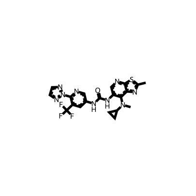 Cc1nc2c(N(C)C3CC3)c(NC(=O)Nc3cnc(-n4nccn4)c(C(F)(F)F)c3)cnc2s1